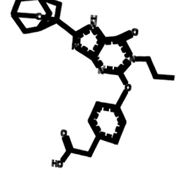 CCCn1c(Oc2ccc(CC(=O)O)cc2)nc2nc(C34CC5CC(CC3C5)C4)[nH]c2c1=O